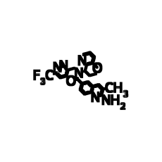 Cc1cc2cc(C(=O)N(Cc3ccc(C(F)(F)F)nn3)[C@@H]3CCOc4cccnc43)ccc2nc1N